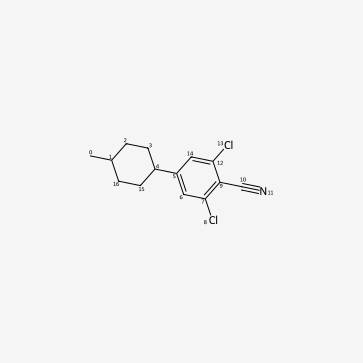 CC1CCC(c2cc(Cl)c(C#N)c(Cl)c2)CC1